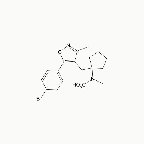 Cc1noc(-c2ccc(Br)cc2)c1CC1(N(C)C(=O)O)CCCC1